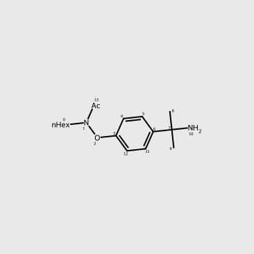 CCCCCCN(Oc1ccc(C(C)(C)N)cc1)C(C)=O